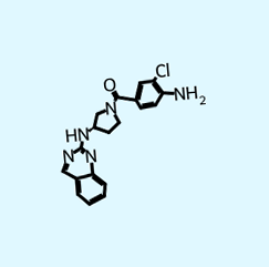 Nc1ccc(C(=O)N2CC[C@@H](Nc3ncc4ccccc4n3)C2)cc1Cl